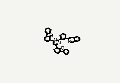 c1cc(-c2cc3ccccc3cn2)cc(-c2nc(-c3cccc4c3oc3ccccc34)cc(-c3cccc4c3oc3ccccc34)n2)c1